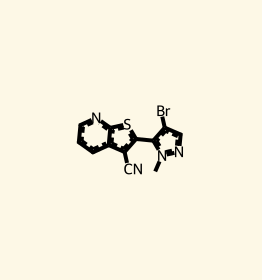 Cn1ncc(Br)c1-c1sc2ncccc2c1C#N